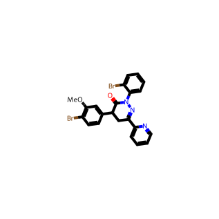 COc1cc(C2CC(c3ccccn3)=NN(c3ccccc3Br)C2=O)ccc1Br